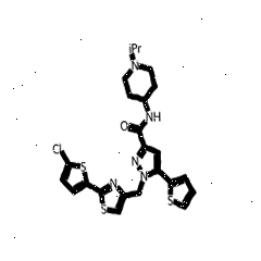 CC(C)N1CCC(NC(=O)c2cc(-c3cccs3)n(Cc3csc(-c4ccc(Cl)s4)n3)n2)CC1